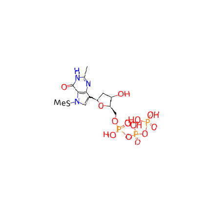 CSn1cc([C@H]2CC(O)[C@@H](COP(=O)(O)OP(=O)(O)OP(=O)(O)O)O2)c2nc(C)[nH]c(=O)c21